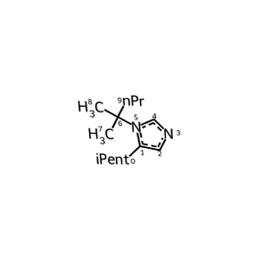 CCCC(C)c1cncn1C(C)(C)CCC